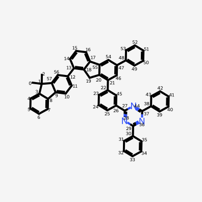 CC1(C)c2ccccc2-c2ccc(-c3cccc4c3Cc3c(-c5cccc(-c6nc(-c7ccccc7)nc(-c7ccccc7)n6)c5)cc(-c5ccccc5)cc3-4)cc21